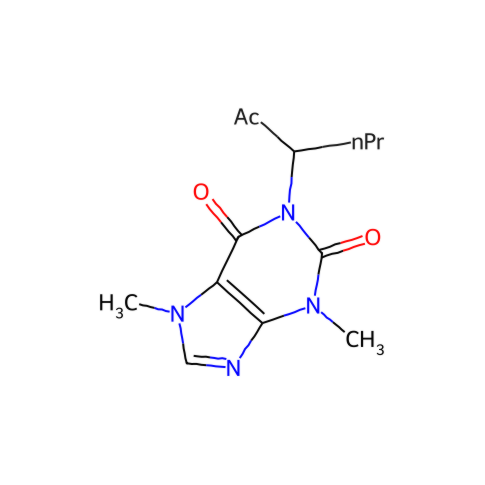 CCCC(C(C)=O)n1c(=O)c2c(ncn2C)n(C)c1=O